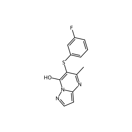 Cc1nc2ccnn2c(O)c1Sc1cccc(F)c1